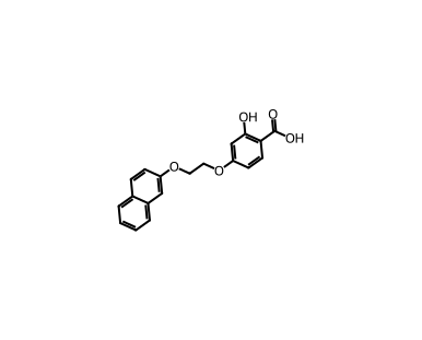 O=C(O)c1ccc(OCCOc2ccc3ccccc3c2)cc1O